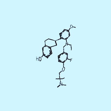 CCN(Cc1ccc(OCC(C)(C)N(C)C)c(F)c1)c1cc(OC)ccc1[C@@H]1CCc2cc(O)ccc2C1